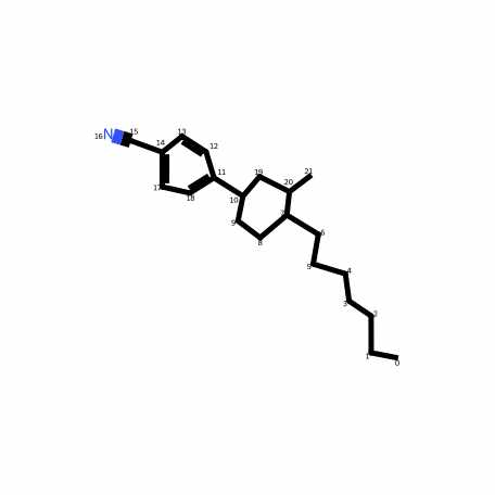 CCCCCCCC1CCC(c2ccc(C#N)cc2)CC1C